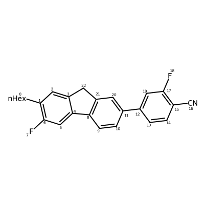 CCCCCCc1cc2c(cc1F)-c1ccc(-c3ccc(C#N)c(F)c3)cc1C2